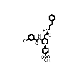 CS(=O)(=O)c1ccc(N2CCC(CC(=O)NCCCc3ccccc3)[C@H](NC(=O)c3cccc(Cl)c3)C2)nc1